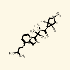 CC(C)CSc1cccn2c(C(C)(C)N(C)C(=O)[C@H]3[C@@H]4CN(C)C[C@@H]43)ncc12